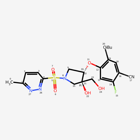 Cc1ccc(S(=O)(=O)N2C[C@H](Oc3cc(F)c(C#N)cc3OCC(C)C)[C@](O)(CO)C2)nn1